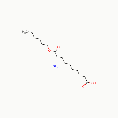 CCCCCCOC(=O)CCCCCCCCC(=O)O.N